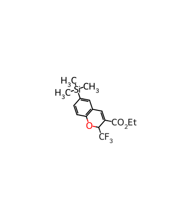 CCOC(=O)C1=Cc2cc([Si](C)(C)C)ccc2OC1C(F)(F)F